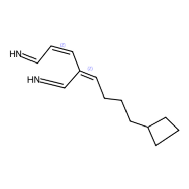 N=C/C=C\C(C=N)=C\CCCC1CCC1